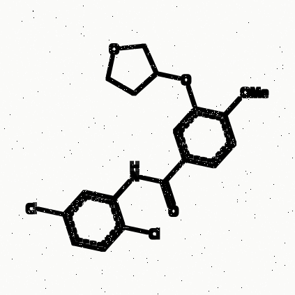 COc1ccc(C(=O)Nc2cc(Cl)ccc2Cl)cc1OC1CCOC1